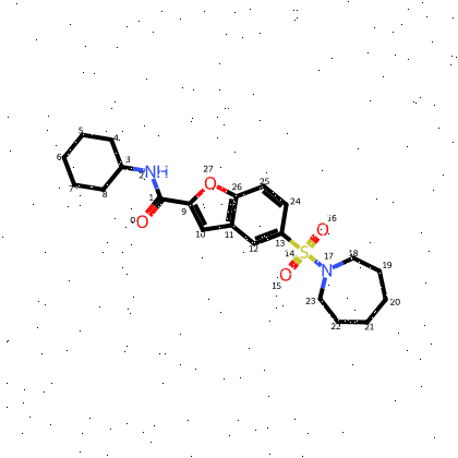 O=C(NC1CCCCC1)c1cc2cc(S(=O)(=O)N3CCCCCC3)ccc2o1